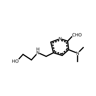 CN(C)c1cc(CNCCO)cnc1C=O